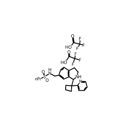 CCCS(=O)(=O)NCc1ccc2c(c1)C(C1(c3ccccn3)CCC1)NCC2.O=C(O)C(F)(F)F.O=C(O)C(F)(F)F